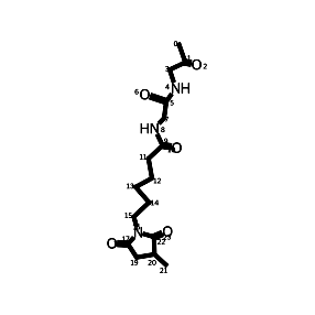 CC(=O)CNC(=O)CNC(=O)CCCCCN1C(=O)CC(C)C1=O